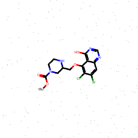 CC(C)(C)OC(=O)N1CCNC(COc2c(Cl)c(Br)cc3ncnc(O)c23)C1